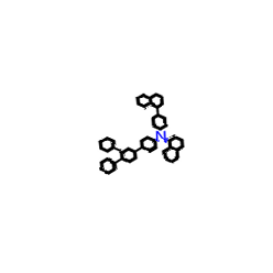 c1ccc(-c2ccc(-c3ccc(N(c4ccc(-c5cccc6ccccc56)cc4)c4cccc5ccccc45)cc3)cc2-c2ccccc2)cc1